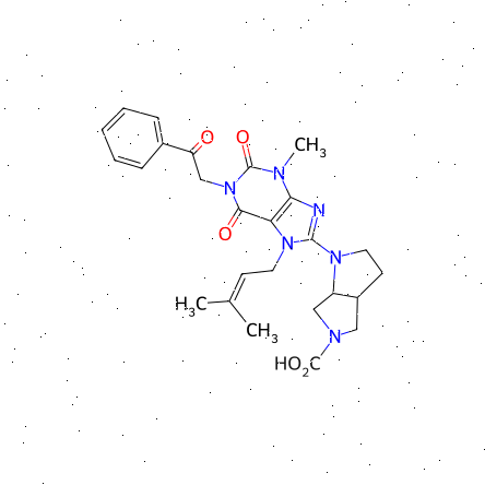 CC(C)=CCn1c(N2CCC3CN(C(=O)O)CC32)nc2c1c(=O)n(CC(=O)c1ccccc1)c(=O)n2C